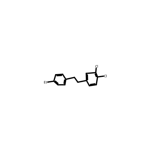 CCc1ccc(C[CH]c2ccc(Cl)c(Cl)c2)cc1